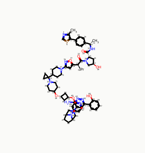 Cc1ncsc1-c1ccc([C@H](C)NC(=O)[C@@H]2C[C@@H](O)CN2C(=O)[C@H](c2cc(N3CCC(C4(N5CCC(O[C@H]6C[C@H](Oc7cc(N8C9CCC8CN(c8cc(-c%10ccccc%10O)nnc8N)C9)ccn7)C6)CC5)CC4)CC3)no2)C(C)C)cc1